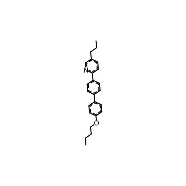 CCCCOc1ccc(-c2ccc(-c3ccc(CCC)cn3)cc2)cc1